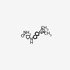 CC1CN(c2ccc3cc(N[C@H]4CC[C@@H](C(N)=O)CC4)ccc3c2)CC(C)O1